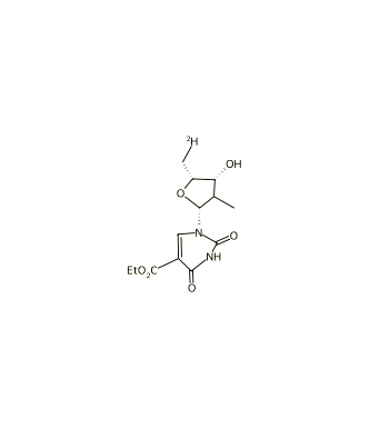 [2H]C[C@H]1O[C@@H](n2cc(C(=O)OCC)c(=O)[nH]c2=O)C(C)[C@H]1O